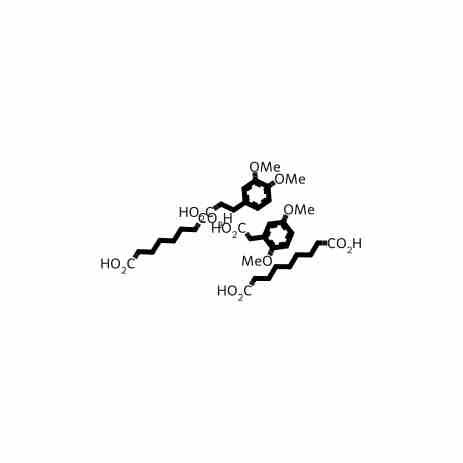 COc1ccc(CCC(=O)O)cc1OC.COc1ccc(OC)c(CC(=O)O)c1.O=C(O)CCCCCCC(=O)O.O=C(O)CCCCCCCC(=O)O